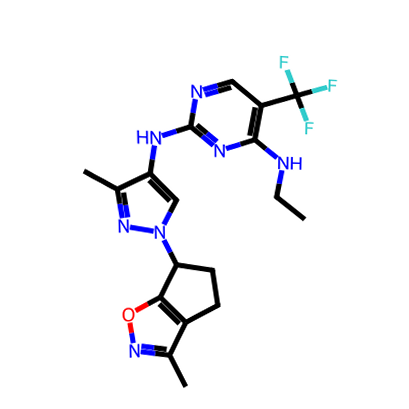 CCNc1nc(Nc2cn(C3CCc4c(C)noc43)nc2C)ncc1C(F)(F)F